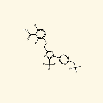 NC(=O)c1c(F)ccc(OCc2nc(-c3ccc(OC(F)(F)F)cc3)c(C(F)(F)F)o2)c1F